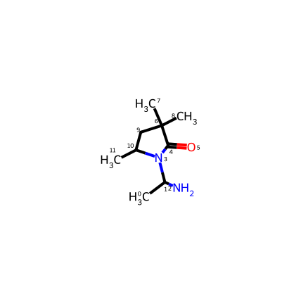 CC(N)N1C(=O)C(C)(C)CC1C